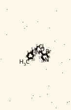 Cc1ccc(C[C@H](CCl)NC(=O)c2ccncc2Br)cc1